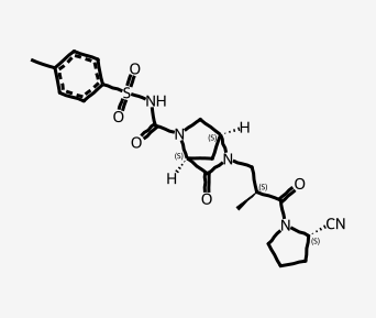 Cc1ccc(S(=O)(=O)NC(=O)N2C[C@@H]3C[C@H]2C(=O)N3C[C@H](C)C(=O)N2CCC[C@H]2C#N)cc1